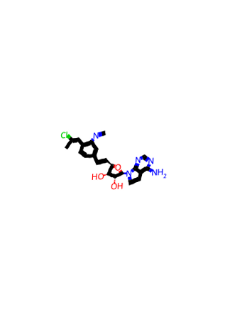 C=Nc1cc(/C=C/[C@H]2O[C@@H](n3ccc4c(N)ncnc43)[C@H](O)[C@@H]2O)ccc1/C=C(\C)Cl